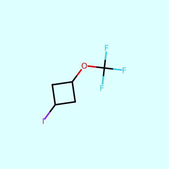 FC(F)(F)OC1CC(I)C1